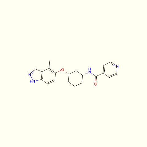 Cc1c(O[C@H]2CCC[C@@H](NC(=O)c3ccncc3)C2)ccc2[nH]ncc12